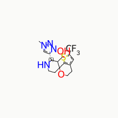 Cn1cc([C@H]2NCCC3(OCCc4cc(C(F)(F)F)sc43)C2CO)nn1